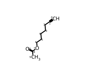 C#CCCCCCOC(C)=O